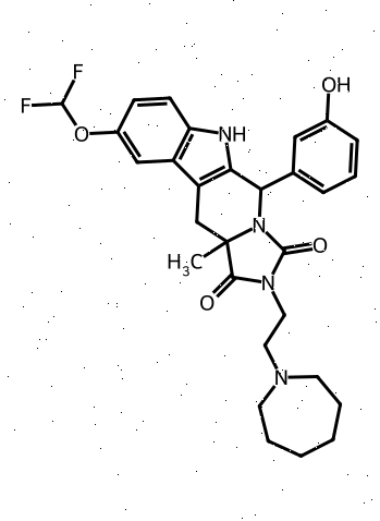 CC12Cc3c([nH]c4ccc(OC(F)F)cc34)C(c3cccc(O)c3)N1C(=O)N(CCN1CCCCCC1)C2=O